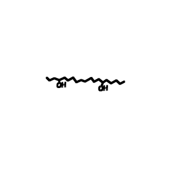 CCCCCC(O)CCCCCCCCCC(O)CCC